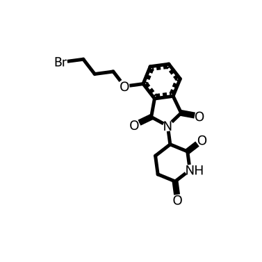 O=C1CCC(N2C(=O)c3cccc(OCCCBr)c3C2=O)C(=O)N1